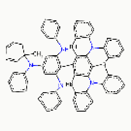 CC1(N(c2ccccc2)c2cc(Nc3ccccc3)c(-c3c4c5c6c7c3Bc3ccccc3N7c3ccccc3B6c3ccccc3N5c3ccccc3B4)c(Nc3ccccc3)c2)C=CC=CC1